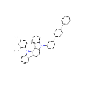 N#Cc1cc(C(F)(F)F)cc(C(F)(F)F)c1-n1c2ccccc2c2ccc3c(c4ccccc4n3-c3cccc(-c4ccc(-c5ccccc5)cc4)c3)c21